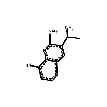 CNc1nc2c(Cl)cccc2cc1C(C)N